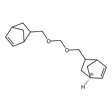 C1=CC2CC1CC2COCOCC1C[C@@H]2C=CC1C2